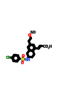 O=NOCCc1cc(C=CC(=O)O)c2c(c1)CC(NS(=O)(=O)c1ccc(Cl)cc1)CC2